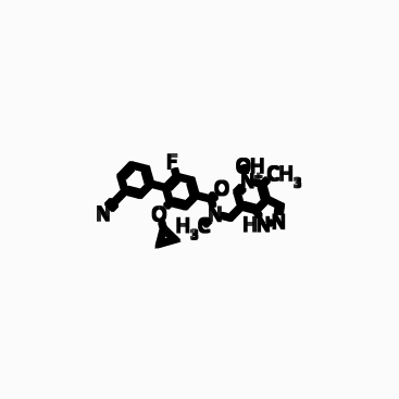 Cc1c2cn[nH]c2c(CN(C)C(=O)c2cc(F)c(-c3cccc(C#N)c3)c(OC3CC3)c2)c[n+]1O